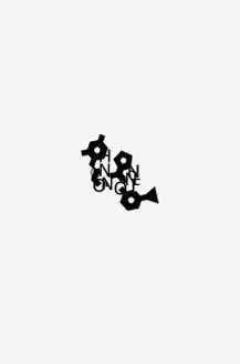 Cc1ccc(C[C@@H]2CON=C(c3c(Oc4cccc(C5CC5)c4F)nnc4c3CCC4)N2)c(C)c1